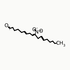 CCCCC/C=C/C/C(=C/C/C=C/CCCC[C]=O)[N+](=O)[O-]